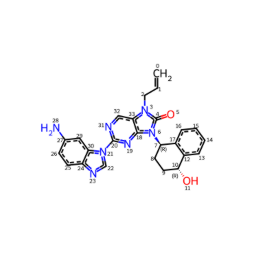 C=CCn1c(=O)n([C@@H]2CC[C@@H](O)c3ccccc32)c2nc(-n3cnc4ccc(N)cc43)ncc21